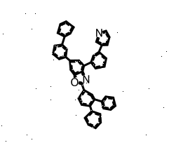 c1ccc(-c2cccc(-c3cc(-c4cccc(-c5cccnc5)c4)c4nc(-c5ccc(-c6ccccc6)c(-c6ccccc6)c5)oc4c3)c2)cc1